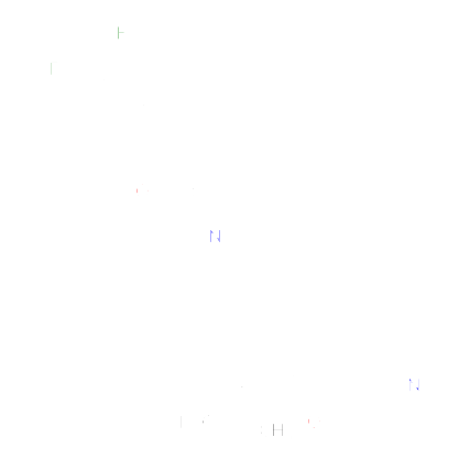 CC1(C)CCCN(C(=O)c2ccccc2C2CC2(F)F)CC/C=C(/C#N)C1=O